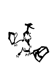 CC(C)(C)c1cn(C[C@H]2CCCO2)c(=NC(=NC#N)NC2C3CC4CC(C3)CC2C4)s1